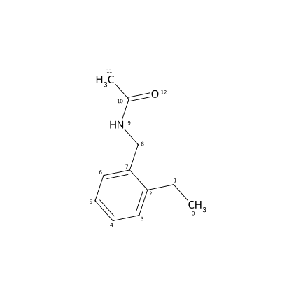 CCc1ccccc1CNC(C)=O